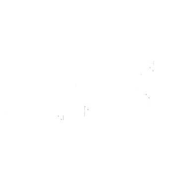 Nc1ccccc1NC(=O)c1ccc(NC(=O)c2cc3cc(F)ccc3[nH]2)cc1